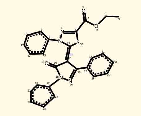 CCOC(=O)C1=NN(c2ccccc2)/C(=C2\C(=O)N(c3ccccc3)N=C2c2ccccc2)S1